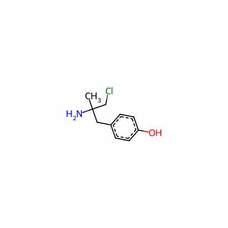 CC(N)(CCl)Cc1ccc(O)cc1